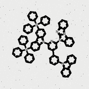 c1ccc([Si](c2ccccc2)(c2ccccc2)c2ccc3c(c2)c2cc([Si](c4ccccc4)(c4ccccc4)c4ccccc4)ccc2n3-c2cc(-c3cccc(-n4c5ccccc5c5ccccc54)c3)cc(-n3c4ccccc4n4c5ccccc5nc34)n2)cc1